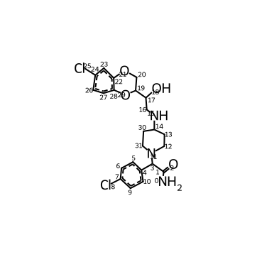 NC(=O)C(c1ccc(Cl)cc1)N1CCC(NCC(O)C2COc3cc(Cl)ccc3O2)CC1